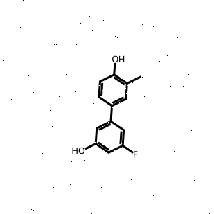 Cc1cc(-c2cc(O)cc(F)c2)ccc1O